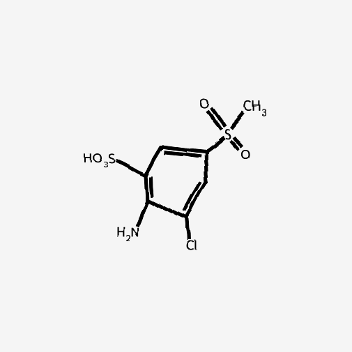 CS(=O)(=O)c1cc(Cl)c(N)c(S(=O)(=O)O)c1